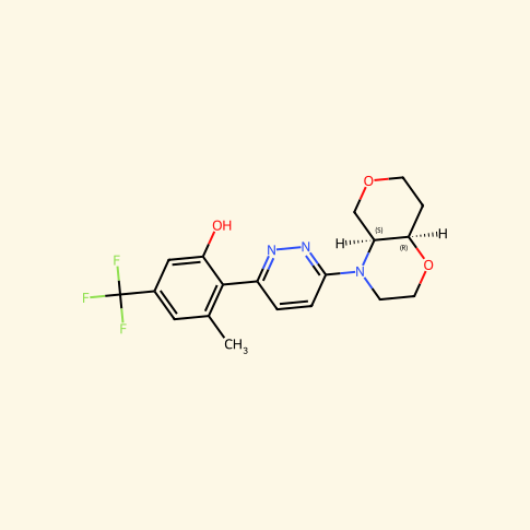 Cc1cc(C(F)(F)F)cc(O)c1-c1ccc(N2CCO[C@@H]3CCOC[C@@H]32)nn1